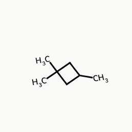 CC1CC(C)(C)C1